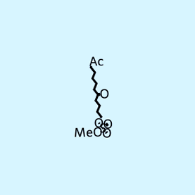 COS(=O)(=O)OCCCCC(=O)CCCCCC(C)=O